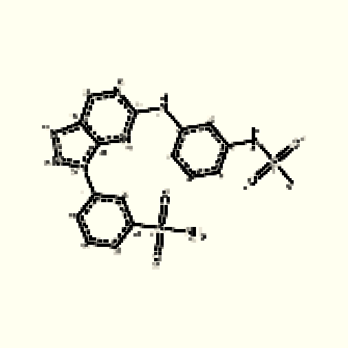 CS(=O)(=O)Nc1cccc(Nc2ncc3nnn(-c4cccc(S(N)(=O)=O)c4)c3n2)c1